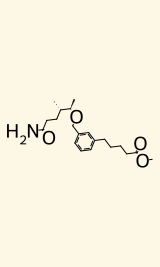 COC(=O)CCCCc1cccc(CO[C@H](C)[C@@H](C)CCC(N)=O)c1